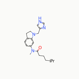 CC(C)CCCC(=O)N(C)c1ccc2c(c1)N(Cc1c[nH]cn1)CC2